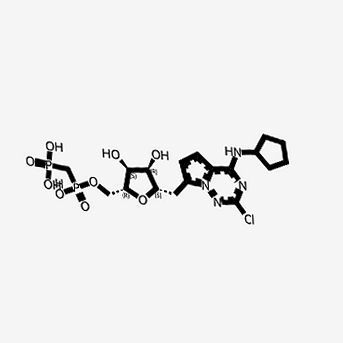 O=P(O)(O)CP(=O)(O)OC[C@H]1O[C@@H](Cc2ccc3c(NC4CCCC4)nc(Cl)nn23)[C@H](O)[C@@H]1O